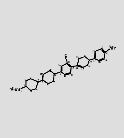 CCCCCC1CCC(C2CCC(c3ccc(C4=CCC(c5ccc(CCC)cc5)CC4)c(F)c3)CC2)CC1